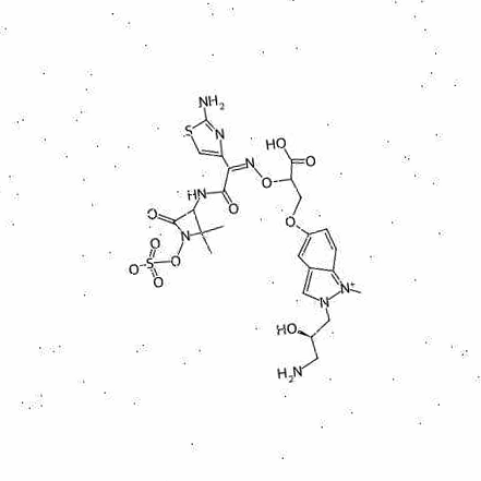 C[n+]1c2ccc(OCC(O/N=C(\C(=O)NC3C(=O)N(OS(=O)(=O)[O-])C3(C)C)c3csc(N)n3)C(=O)O)cc2cn1C[C@H](O)CN